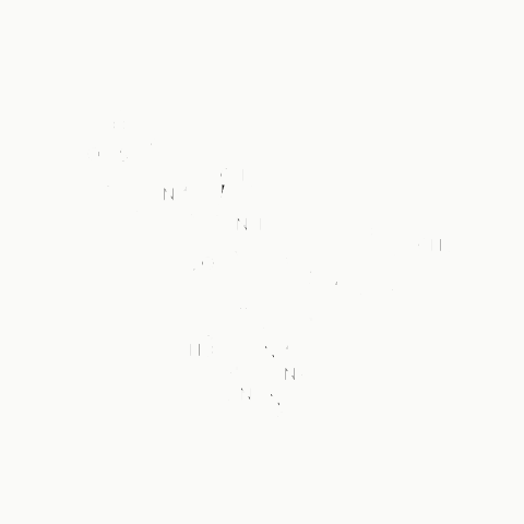 Cc1ccc(-c2cc(C(=O)N[C@H](C)CN3CCS(=O)(=O)CC3)cc(-n3nnnc3C)c2)cc1